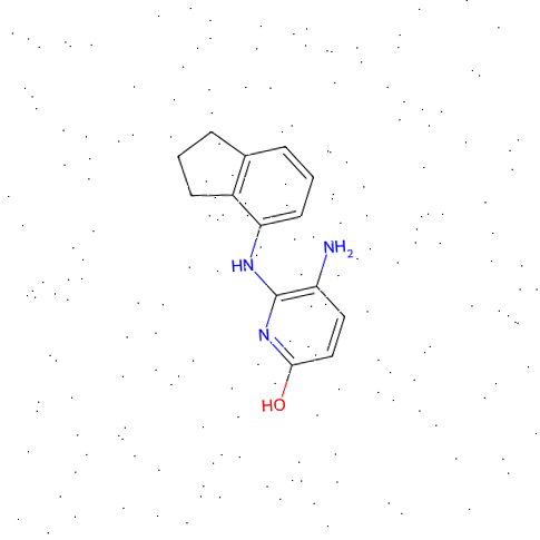 Nc1ccc(O)nc1Nc1cccc2c1CCC2